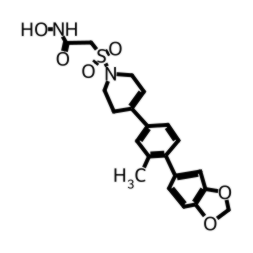 Cc1cc(C2=CCN(S(=O)(=O)CC(=O)NO)CC2)ccc1-c1ccc2c(c1)OCO2